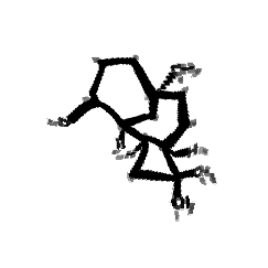 CC1(C)C[C@H]2[C@@H]3C[C@@](C)(CCC3=O)CC[C@@H]21